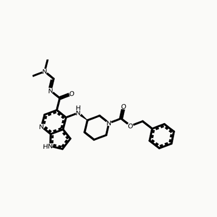 CN(C)/C=N/C(=O)c1cnc2[nH]ccc2c1N[C@@H]1CCCN(C(=O)OCc2ccccc2)C1